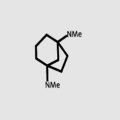 CNC12CCCC(NC)(CC1)C2